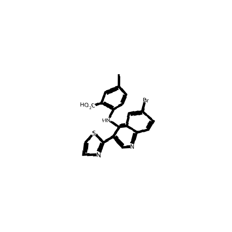 Cc1ccc(Nc2c(-c3nccs3)cnc3ccc(Br)cc23)c(C(=O)O)c1